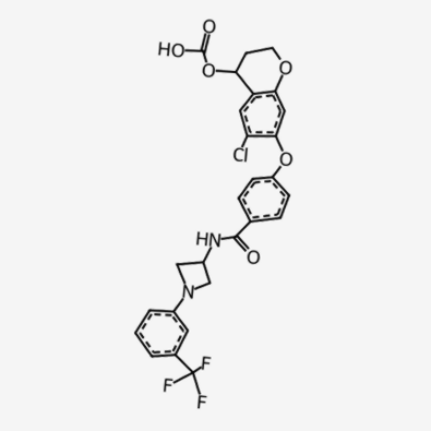 O=C(O)OC1CCOc2cc(Oc3ccc(C(=O)NC4CN(c5cccc(C(F)(F)F)c5)C4)cc3)c(Cl)cc21